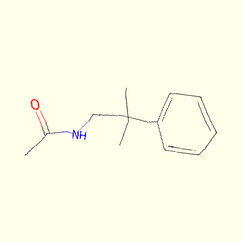 CC(=O)NCC(C)(C)c1ccccc1